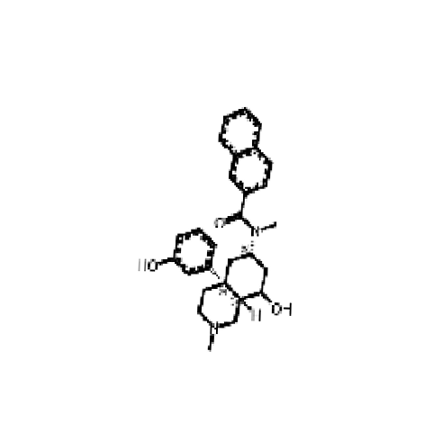 CN1CC[C@@]2(c3cccc(O)c3)C[C@H](N(C)C(=O)c3ccc4ccccc4c3)CC(O)[C@@H]2C1